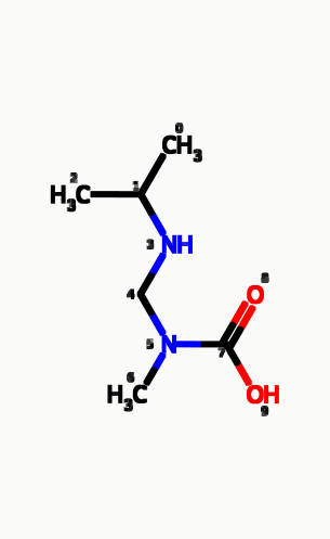 CC(C)NCN(C)C(=O)O